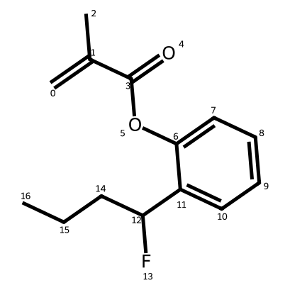 C=C(C)C(=O)Oc1ccccc1C(F)CCC